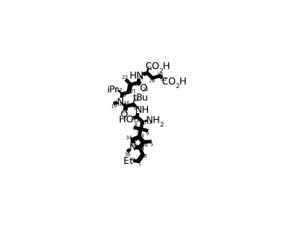 CC/C=C\c1c(C)c(C(C)(C)[C@H](N)C(O)N[C@H](C(=O)N(C)[C@H](/C=C(\C)C(=O)N[C@H](CCC(=O)O)C(=O)O)C(C)C)C(C)(C)C)cn1C